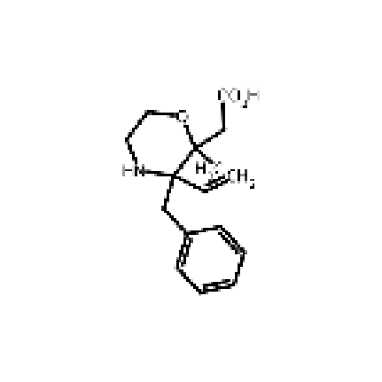 C=CC1(Cc2ccccc2)NCCOC1(C)CC(=O)O